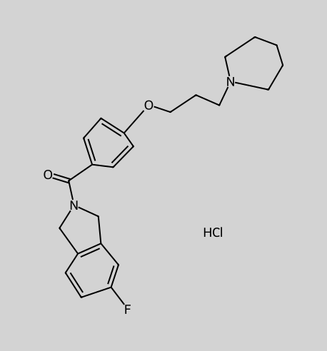 Cl.O=C(c1ccc(OCCCN2CCCCC2)cc1)N1Cc2ccc(F)cc2C1